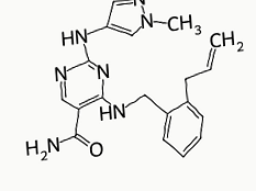 C=CCc1ccccc1CNc1nc(Nc2cnn(C)c2)ncc1C(N)=O